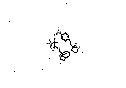 O=C(OCC12CC3CC(CC(C3)C1)C2)C(F)(F)S(=O)(=O)[O-].O=[N+]([O-])c1ccc(CCC23CCC[S+]2O3)cc1